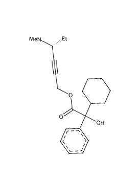 CC[C@H](C#CCOC(=O)C(O)(c1ccccc1)C1CCCCC1)NC